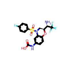 N[C@@H]([C@@H]1CN(S(=O)(=O)c2ccc(F)cc2)c2cc(NC(=O)O)ccc2O1)C(F)(F)F